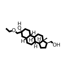 CCOC[C@@]1(O)CC[C@H]2[C@H](CC[C@@H]3[C@@H]2CC[C@]2(C)[C@@H](CO)CC[C@@H]32)C1